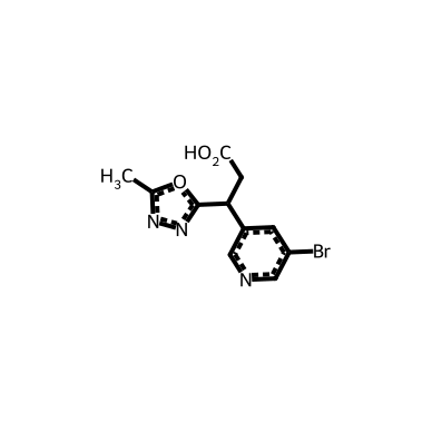 Cc1nnc(C(CC(=O)O)c2cncc(Br)c2)o1